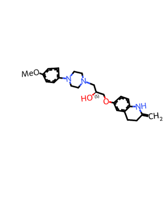 C=C1CCc2cc(OC[C@@H](O)CN3CCN(c4ccc(OC)cc4)CC3)ccc2N1